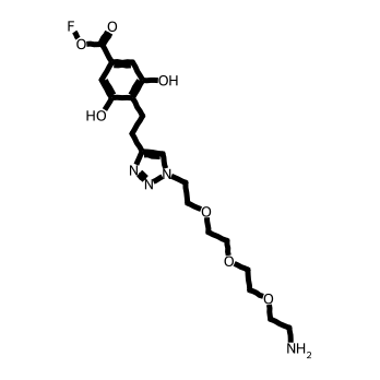 NCCOCCOCCOCCn1cc(CCc2c(O)cc(C(=O)OF)cc2O)nn1